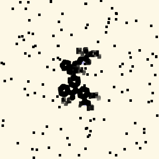 CC/C=C(\F)c1cc(/C(=C(\CC(F)(F)F)c2ccccc2)c2ccc(N(C)CC3(NC/C=C/C(=O)N(C)C)CCCC3)nc2)ccc1N